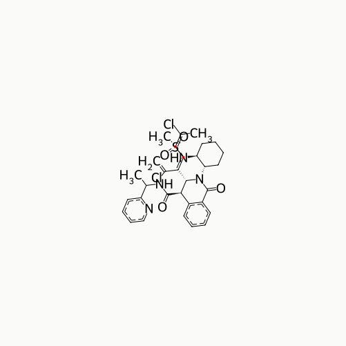 C=C(Cl)/C(=C\C=C(/C)Cl)[C@H]1[C@H](C(=O)NC(C)c2ccccn2)c2ccccc2C(=O)N1[C@H]1CCCC[C@@H]1NS(C)(=O)=O